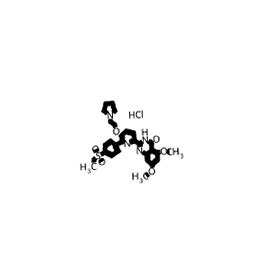 CCS(=O)(=O)c1ccc(-c2nc(-c3nc4cc(OC)cc(OC)c4c(=O)[nH]3)ccc2OCCN2CCCC2)cc1.Cl